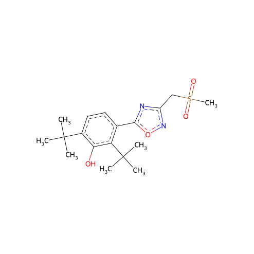 CC(C)(C)c1ccc(-c2nc(CS(C)(=O)=O)no2)c(C(C)(C)C)c1O